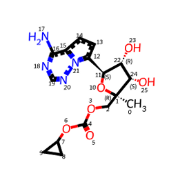 C[C@]1(COC(=O)OC2CC2)O[C@@H](c2ccc3c(N)ncnn23)[C@H](O)[C@@H]1O